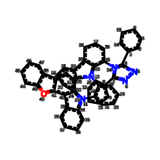 c1ccc(-c2nnc(-c3ccccc3)n2-c2cccc3c4ccccc4n(-c4ccccc4-n4c5ccccc5c5c6oc7ccccc7c6ccc54)c23)cc1